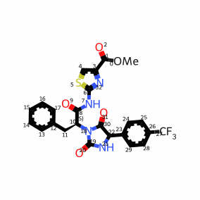 COC(=O)c1csc(NC(=O)[C@H](Cc2ccccc2)N2C(=O)NC(c3ccc(C(F)(F)F)cc3)C2=O)n1